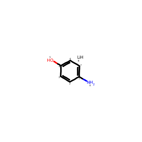 Nc1ccc(O)cc1.[LiH]